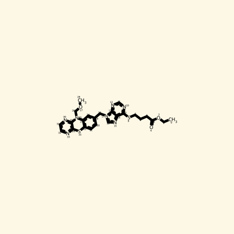 CCOC(=O)CCCSc1ncnc2c1ncn2Cc1ccc2c(c1)N(COC)c1nccnc1S2